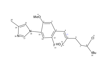 COc1cc(/C=C(/CCC(Cl)C(C)(C)C)C(=O)O)c(F)cc1-n1cnc(C)c1